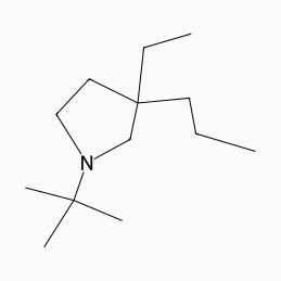 CCCC1(CC)CCN(C(C)(C)C)C1